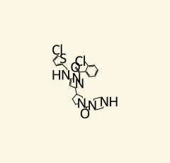 O=C(N1CCNCC1)N1CCC(c2cc(NCc3ccc(Cl)s3)n(C(=O)c3ccccc3Cl)n2)C1